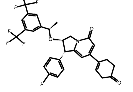 C[C@@H](O[C@H]1Cn2c(cc(C3=CCC(=O)CC3)cc2=O)[C@@H]1c1ccc(F)cc1)c1cc(C(F)(F)F)cc(C(F)(F)F)c1